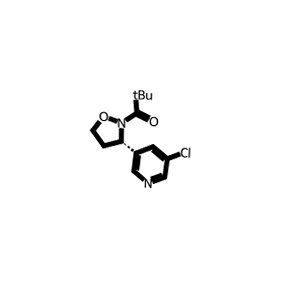 CC(C)(C)C(=O)N1OCC[C@H]1c1cncc(Cl)c1